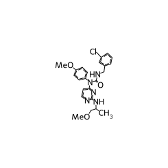 COCC(C)Nc1nccc(N(C(=O)NCc2cccc(Cl)c2)c2ccc(OC)cc2)n1